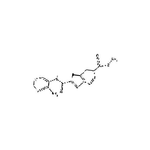 COC(=O)c1ccc2cc(C(=O)Nc3ccccc3N)sc2c1